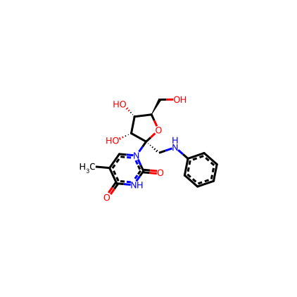 Cc1cn([C@]2(CNc3ccccc3)O[C@H](CO)[C@@H](O)[C@H]2O)c(=O)[nH]c1=O